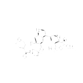 Cc1cc(-c2ccnc3cc(F)c(O[C@H]4CCN(C(=O)C5CCOCC5)C4)cc23)cnc1S(C)(=O)=O